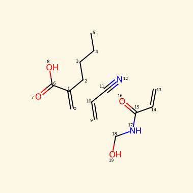 C=C(CCCC)C(=O)O.C=CC#N.C=CC(=O)NCO